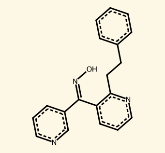 ON=C(c1cccnc1)c1cccnc1CCc1ccccc1